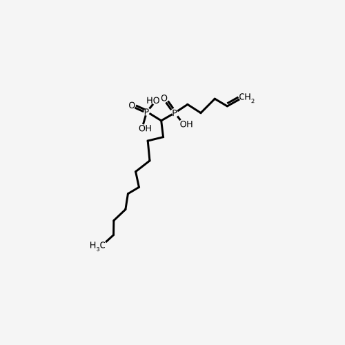 C=CCCCP(=O)(O)C(CCCCCCCCCC)P(=O)(O)O